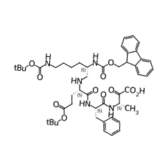 C[C@H](NC(=O)[C@H](Cc1ccccc1)NC(=O)[C@H](CCC(=O)OC(C)(C)C)NC[C@H](CCCCNC(=O)OC(C)(C)C)NC(=O)OCC1c2ccccc2-c2ccccc21)C(=O)C(=O)O